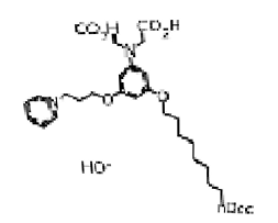 CCCCCCCCCCCCCCCCCCOc1cc(OCCC[n+]2ccccc2)cc(N(CC(=O)O)CC(=O)O)c1.[OH-]